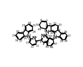 C1=Cc2c(n(-c3cccc(-c4cccc(-n5c6ccccc6c6ccccc65)n4)n3)c3c2ccc2c4ccccc4n(-c4ccccc4)c23)CC1